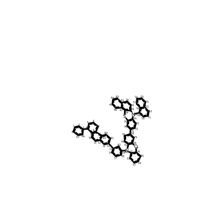 c1ccc(-c2cccc3c2ccc2cc(-c4cccc(N5c6ccccc6Oc6cc(-c7ccc8c(c7)Sc7c(ccc9ccccc79)N8c7cccc8ccccc78)ccc65)c4)ccc23)cc1